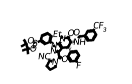 CCN1C(=O)[C@H](NC(=O)c2cccc(C(F)(F)F)c2)[C@H](c2ccc(F)cc2)c2c(C(=O)N3CCC[C@@H]3C#N)nn(-c3cccc(B4OC(C)(C)C(C)(C)O4)c3)c21